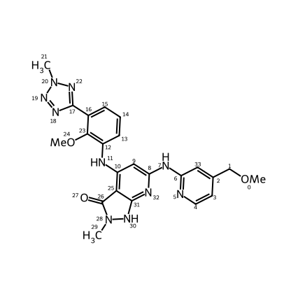 COCc1ccnc(Nc2cc(Nc3cccc(-c4nnn(C)n4)c3OC)c3c(=O)n(C)[nH]c3n2)c1